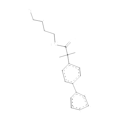 CC(C)(C(=O)NCCCCN)c1ccc(-c2ccccc2)cc1